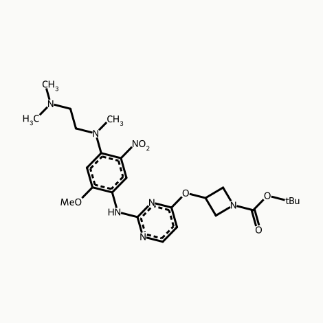 COc1cc(N(C)CCN(C)C)c([N+](=O)[O-])cc1Nc1nccc(OC2CN(C(=O)OC(C)(C)C)C2)n1